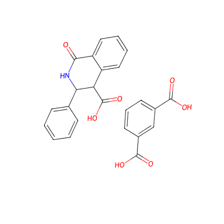 O=C(O)c1cccc(C(=O)O)c1.O=C1NC(c2ccccc2)C(C(=O)O)c2ccccc21